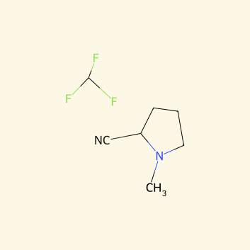 CN1CCCC1C#N.FC(F)F